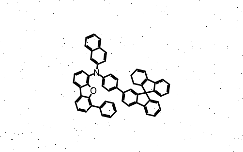 C1=CC2=C(CC1)C1(c3ccccc32)c2ccccc2-c2ccc(-c3ccc(N(c4ccc5ccccc5c4)c4cccc5c4oc4c(-c6ccccc6)cccc45)cc3)cc21